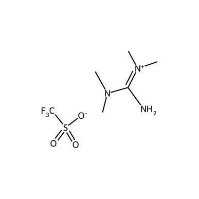 CN(C)C(N)=[N+](C)C.O=S(=O)([O-])C(F)(F)F